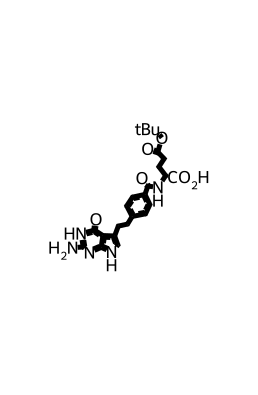 CC(C)(C)OC(=O)CC[C@H](NC(=O)c1ccc(CCc2c[nH]c3nc(N)[nH]c(=O)c23)cc1)C(=O)O